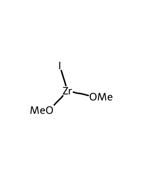 C[O][Zr]([I])[O]C